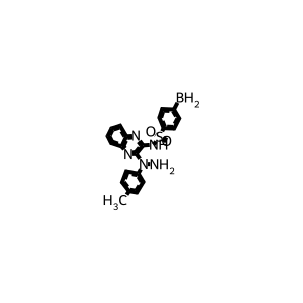 Bc1ccc(S(=O)(=O)Nc2nc3ccccc3nc2N(N)c2ccc(C)cc2)cc1